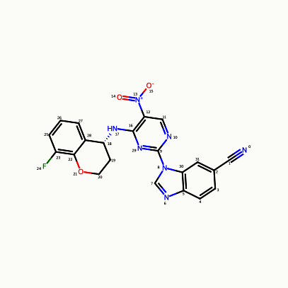 N#Cc1ccc2ncn(-c3ncc([N+](=O)[O-])c(N[C@@H]4CCOc5c(F)cccc54)n3)c2c1